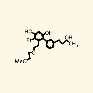 CCc1c(O)cc(O)c(-c2cccc(CCC(C)O)c2)c1CCOCCOC